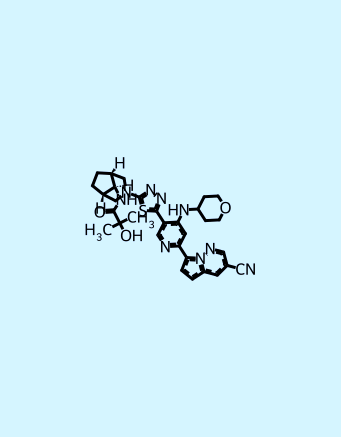 CC(C)(O)C(=O)N[C@@H]1[C@@H]2CC[C@H]1CN(c1nnc(-c3cnc(-c4ccc5cc(C#N)cnn45)cc3NC3CCOCC3)s1)C2